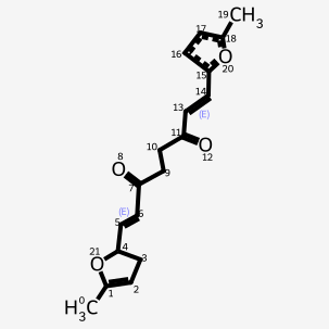 CC1=CCC(/C=C/C(=O)CCC(=O)/C=C/c2ccc(C)o2)O1